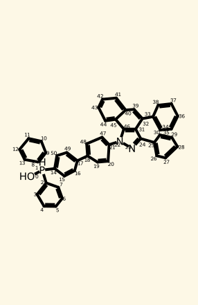 O[PH](c1ccccc1)(c1ccccc1)c1ccc(-c2ccc(-n3nc(-c4ccccc4)c4c(-c5ccccc5)cc5ccccc5c43)cc2)cc1